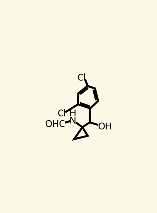 O=CNC1(C(O)c2ccc(Cl)cc2Cl)CC1